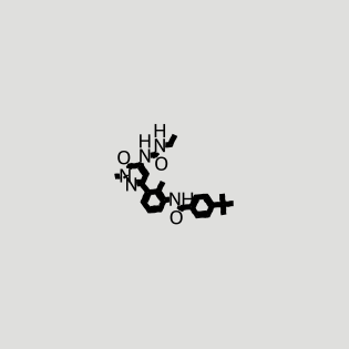 CCNC(=O)Nc1cc(-c2cccc(NC(=O)c3ccc(C(C)(C)C)cc3)c2C)nn(C)c1=O